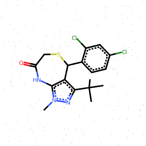 Cn1nc(C(C)(C)C)c2c1NC(=O)CSC2c1ccc(Cl)cc1Cl